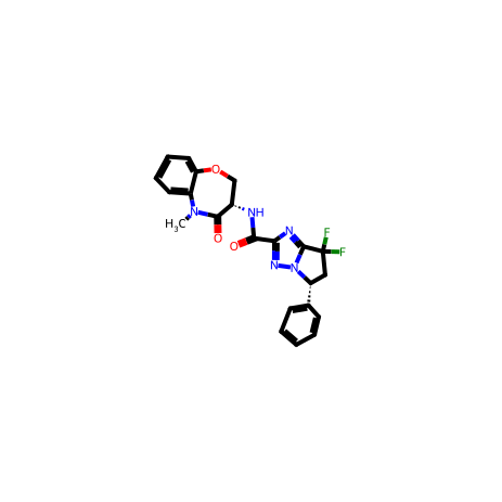 CN1C(=O)[C@@H](NC(=O)c2nc3n(n2)[C@@H](c2ccccc2)CC3(F)F)COc2ccccc21